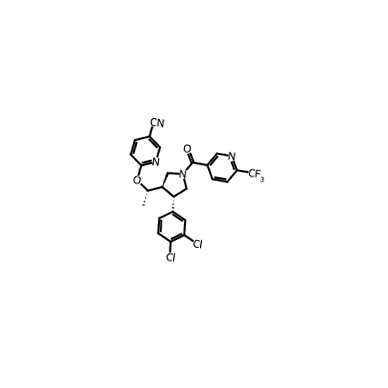 C[C@H](Oc1ccc(C#N)cn1)[C@H]1CN(C(=O)c2ccc(C(F)(F)F)nc2)C[C@@H]1c1ccc(Cl)c(Cl)c1